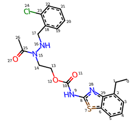 CCc1cccc2sc(NC(=O)OCCN(NCc3ccccc3Cl)C(C)=O)nc12